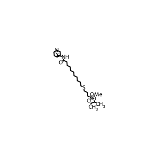 CO[Si]1(CCCSCCCCCCCCCCC(=O)NC2CN3CCC2CC3)OC(C)C(C)O1